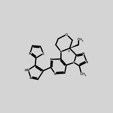 CC[C@]12COCCN1c1nc(-c3cn[nH]c3-c3nccs3)ncc1-n1c(C)nnc12